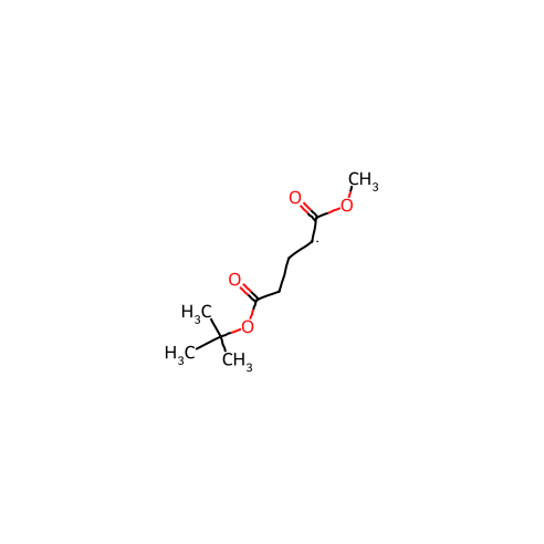 COC(=O)[CH]CCC(=O)OC(C)(C)C